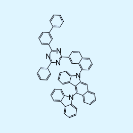 c1ccc(-c2cccc(-c3nc(-c4ccccc4)nc(-c4ccc5cccc(-n6c7ccccc7c7c(-n8c9ccccc9c9ccccc98)c8ccccc8cc76)c5c4)n3)c2)cc1